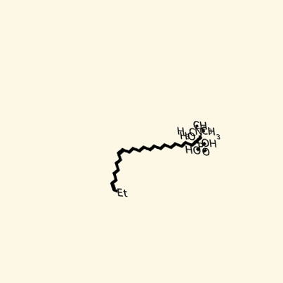 CC/C=C\CCCCC/C=C\CCCCCCCCCCCCCC(O)(C[N+](C)(C)C)P(=O)(O)O